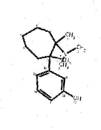 CN(C)C1(C)CCCCCC1(C)c1cccc(O)c1